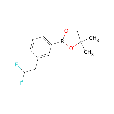 CC1(C)COB(c2cccc(CC(F)F)c2)O1